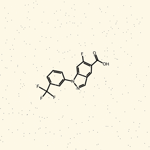 O=C(O)c1cc2cnn(-c3cccc(C(F)(F)F)c3)c2cc1F